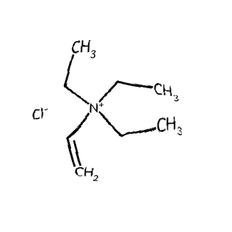 C=C[N+](CC)(CC)CC.[Cl-]